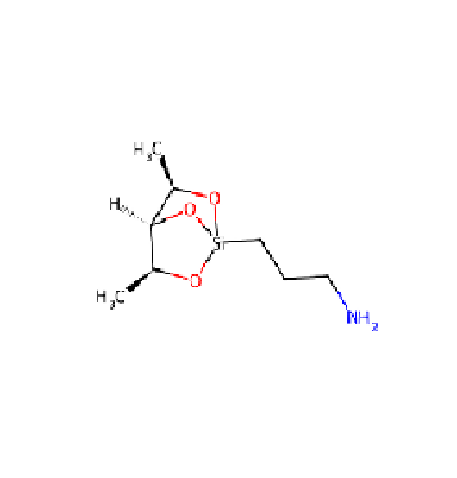 C[C@@H]1O[Si]2(CCCN)O[C@@H]1[C@@H](C)O2